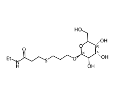 CCNC(=O)CCSCCCO[C@H]1OC(CO)[C@H](O)[C@H](O)C1O